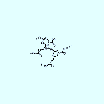 CCCC(=O)OCC(COC(=O)CCC)OC(=O)CCC.CCCCCCCC(=O)OCC(COC(=O)CCCCCCC)OC(=O)CCCCCCC